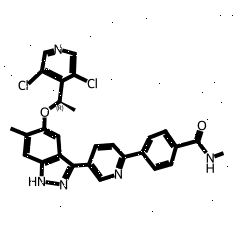 CNC(=O)c1ccc(-c2ccc(-c3n[nH]c4cc(C)c(O[C@H](C)c5c(Cl)cncc5Cl)cc34)cn2)cc1